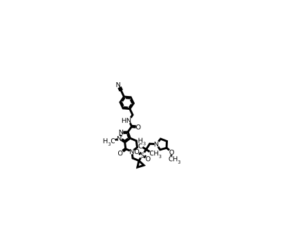 COC1CCN(CC(C)(C)S(=O)(=O)C2(CN3CCc4c(C(=O)NCc5ccc(C#N)cc5)nn(C)c4C3=O)CC2)C1